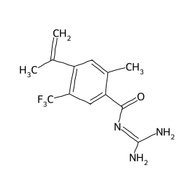 C=C(C)c1cc(C)c(C(=O)N=C(N)N)cc1C(F)(F)F